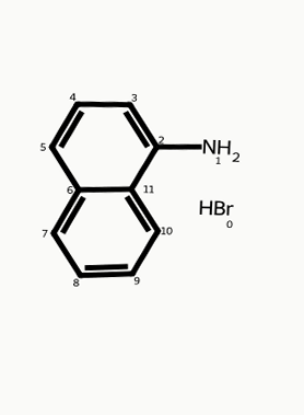 Br.Nc1cccc2ccccc12